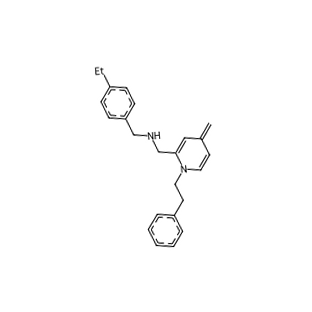 C=C1C=CN(CCc2ccccc2)C(CNCc2ccc(CC)cc2)=C1